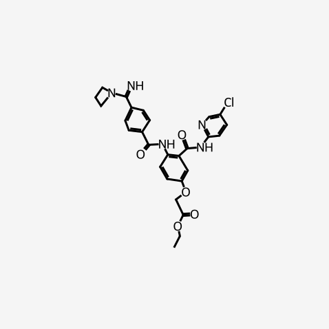 CCOC(=O)COc1ccc(NC(=O)c2ccc(C(=N)N3CCC3)cc2)c(C(=O)Nc2ccc(Cl)cn2)c1